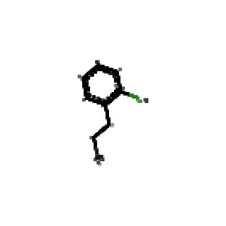 CC(=O)CCc1ccccc1Cl